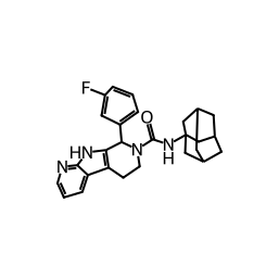 O=C(NC12CC3CC(CC(C3)C1)C2)N1CCc2c([nH]c3ncccc23)C1c1cccc(F)c1